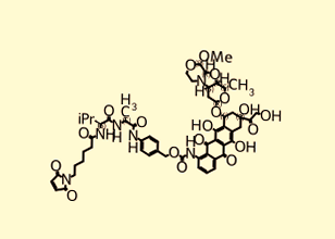 CO[C@H]1OCCN2[C@@H]1O[C@@H]1[C@H](C)O[C@@H](O[C@H]3C[C@](O)(C(=O)CO)Cc4c(O)c5c(c(O)c43)C(=O)c3c(NC(=O)OCc4ccc(NC(=O)[C@H](C)NC(=O)[C@@H](NC(=O)CCCCCN6C(=O)C=CC6=O)C(C)C)cc4)cccc3C5=O)C[C@@H]12